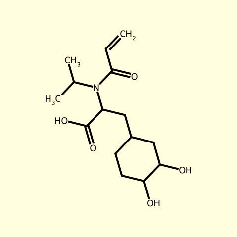 C=CC(=O)N(C(C)C)C(CC1CCC(O)C(O)C1)C(=O)O